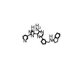 Nc1ncc(-c2cccc(CN[C@H]3CCc4ccccc43)c2)nc1-c1nc(-c2cccnc2)n[nH]1